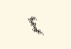 CC(=O)NCC(=O)N1C[C@@H]2C(c3ccc(N4C[C@H](CNC(C)=O)OC4=O)cc3F)[C@@H]2C1